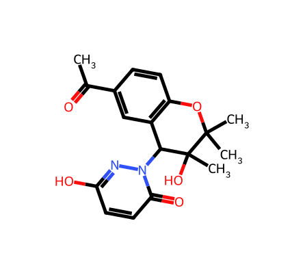 CC(=O)c1ccc2c(c1)C(n1nc(O)ccc1=O)C(C)(O)C(C)(C)O2